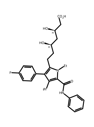 CCn1c(CC[C@@H](O)C[C@@H](O)CC(=O)O)c(-c2ccc(F)cc2)c(C(C)C)c1C(=O)Nc1ccccc1